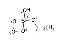 CCO[Si]1(O)OOO1